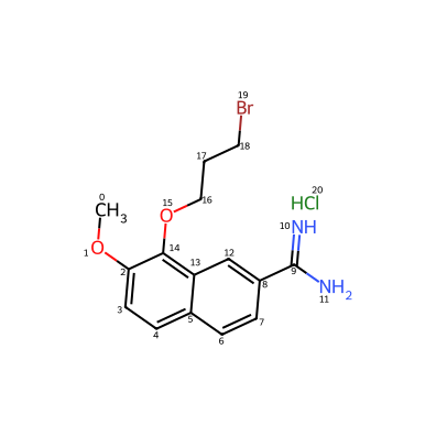 COc1ccc2ccc(C(=N)N)cc2c1OCCCBr.Cl